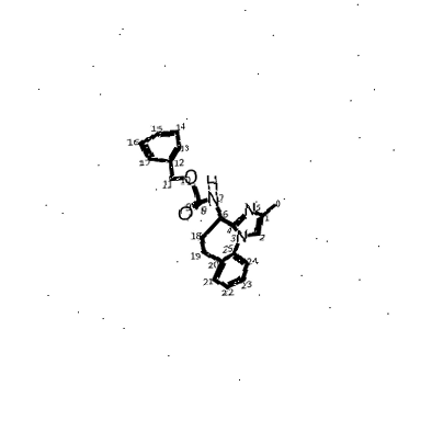 Cc1cn2c(n1)C(NC(=O)OCc1ccccc1)CCc1ccccc1-2